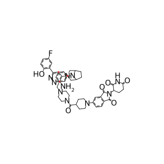 Nc1nnc(-c2cc(F)ccc2O)cc1N1CC2CCC(C1)N2c1cccc(CN2CCN(C(=O)C3CCN(c4ccc5c(c4)C(=O)N(C4CCC(=O)NC4=O)C5=O)CC3)CC2)c1